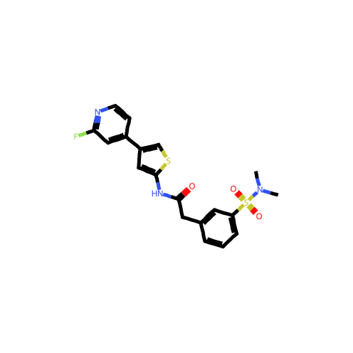 CN(C)S(=O)(=O)c1cccc(CC(=O)Nc2cc(-c3ccnc(F)c3)cs2)c1